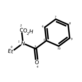 CCN(C(=O)O)C(=O)c1ccccc1